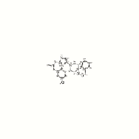 CN1Cc2cc(Cl)ccc2-n2c(nnc2N2CCC3(CC2)OOCc2ccccc23)C1